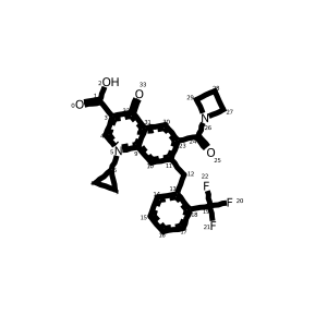 O=C(O)c1cn(C2CC2)c2cc(Cc3ccccc3C(F)(F)F)c(C(=O)N3CCC3)cc2c1=O